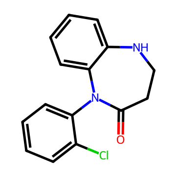 O=C1CCNc2ccccc2N1c1ccccc1Cl